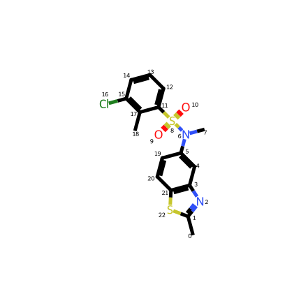 Cc1nc2cc(N(C)S(=O)(=O)c3cccc(Cl)c3C)ccc2s1